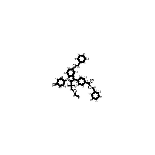 CC(C)(COCI)c1c(-c2ccc(C(=O)OCc3ccccc3)cc2)c2cc(OCc3ccccc3)ccc2n1-c1ccc(F)cc1